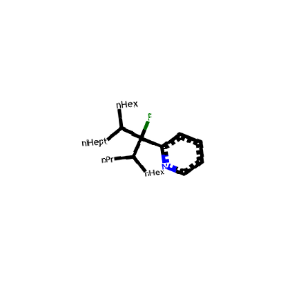 CCCCCCCC(CCCCCC)C(F)(c1ccccn1)C(CCC)CCCCCC